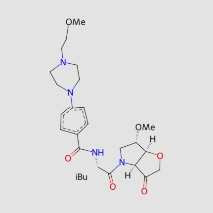 CC[C@H](C)[C@H](NC(=O)c1ccc(N2CCN(CCOC)CC2)cc1)C(=O)N1C[C@H](OC)[C@H]2OCC(=O)[C@H]21